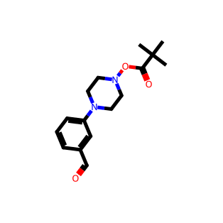 CC(C)(C)C(=O)ON1CCN(c2cccc(C=O)c2)CC1